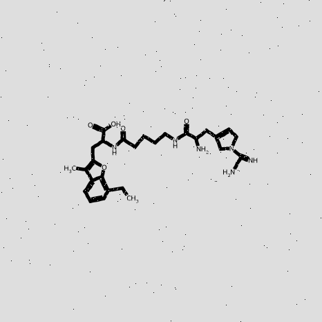 CCc1cccc2c(C)c(CC(NC(=O)CCCCNC(=O)C(N)CC3=CCN(C(=N)N)C3)C(=O)O)oc12